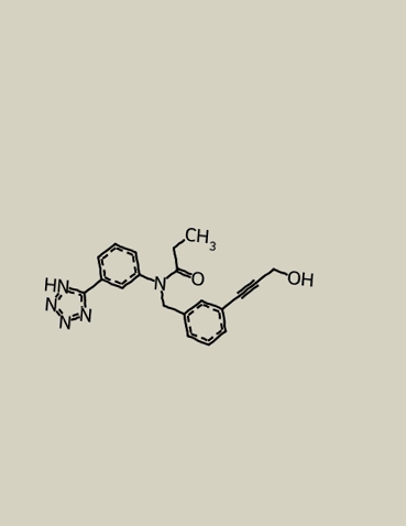 CCC(=O)N(Cc1cccc(C#CCO)c1)c1cccc(-c2nnn[nH]2)c1